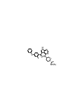 CC(=O)NC(C)[C@@H]1CC[C@@H](Nc2ncnc3[nH]cc(C(=O)c4ccc(Oc5ccccc5)cc4C)c23)CO1